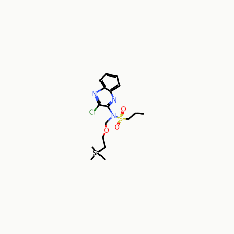 CCCS(=O)(=O)N(COCC[Si](C)(C)C)c1nc2ccccc2nc1Cl